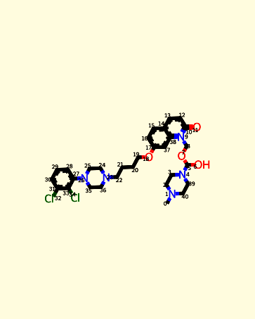 CN1CCN(C(O)OCn2c(=O)ccc3ccc(OCCCCN4CCN(c5cccc(Cl)c5Cl)CC4)cc32)CC1